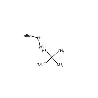 CC(C)(S)C(=O)[O-].CCC[CH2][Bi+][CH2]CCC